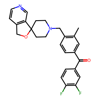 Cc1cc(C(=O)c2ccc(F)c(F)c2)ccc1CN1CCC2(CC1)OCc1ccncc12